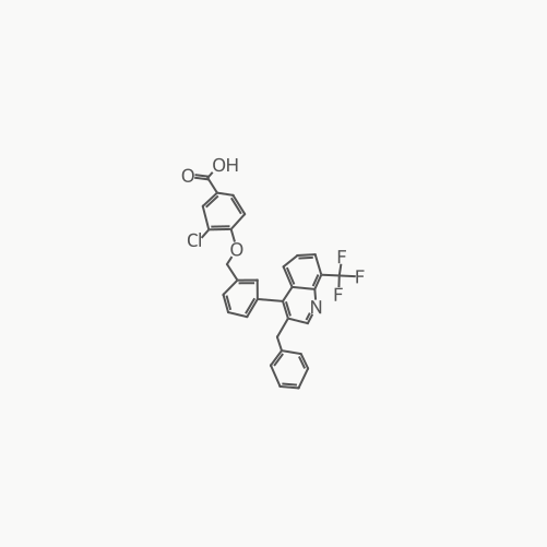 O=C(O)c1ccc(OCc2cccc(-c3c(Cc4ccccc4)cnc4c(C(F)(F)F)cccc34)c2)c(Cl)c1